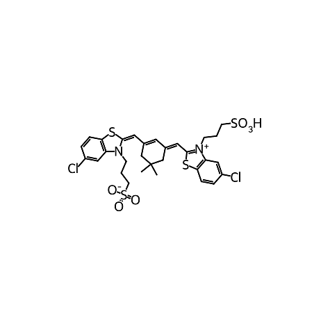 CC1(C)CC(C=C2Sc3ccc(Cl)cc3N2CCCS(=O)(=O)[O-])=CC(=Cc2sc3ccc(Cl)cc3[n+]2CCCS(=O)(=O)O)C1